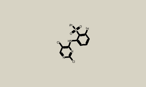 [2H]c1cccc(Nc2nc(Cl)ncc2Cl)c1S(=O)(=O)C(C)C